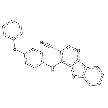 N#Cc1cnc2c(oc3ccccc32)c1Nc1ccc(Oc2ccccc2)cc1